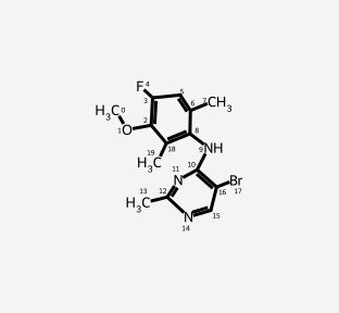 COc1c(F)cc(C)c(Nc2nc(C)ncc2Br)c1C